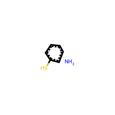 N.Sc1ccccc1